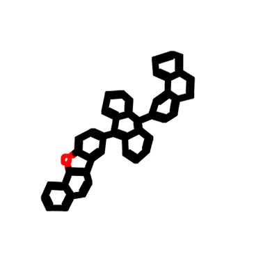 c1ccc2c(c1)ccc1ccc(-c3c4ccccc4c(-c4ccc5oc6c7ccccc7ccc6c5c4)c4ccccc34)cc12